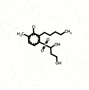 CCCCCc1c(S(=O)(=O)C(O)CCO)ccc(C)c1Cl